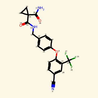 N#Cc1ccc(Oc2ccc(CNC(=O)C3(C(N)=O)CC3)cc2)c(C(F)(F)F)c1